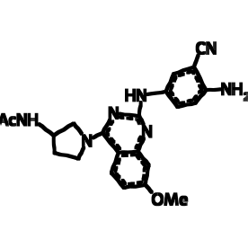 COc1ccc2c(N3CCC(NC(C)=O)C3)nc(Nc3ccc(N)c(C#N)c3)nc2c1